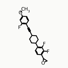 COc1ccc(C#CC2CCC(c3ccc(C4CO4)c(F)c3F)CC2)c(F)c1